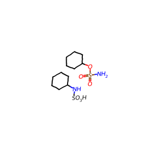 NS(=O)(=O)OC1CCCCC1.O=S(=O)(O)NC1CCCCC1